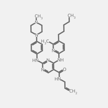 C=CCNC(=O)c1cnc(Nc2ccc(N3CCN(C)CC3)cc2)nc1Nc1ccc(CCCCC)c(C)n1